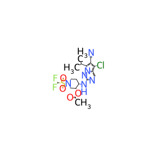 CC(=O)O[C@@H]1CN(S(=O)(=O)C(F)F)CC[C@H]1Nc1ncc2c(Cl)c(C#N)c(C(C)C)n2n1